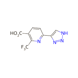 O=C(O)c1ccc(-c2c[nH]nn2)nc1C(F)(F)F